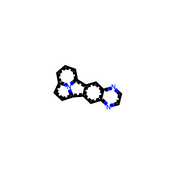 c1cc2ccc3c4cc5nccnc5cc4c(c1)n23